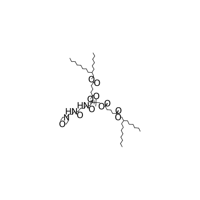 CCCCCCCCC(CCCCCC)COC(=O)CCCC(=O)OCC(C)(C)[C@@H](OC(=O)CCCC(=O)OCC(CCCCCC)CCCCCCCC)C(=O)NCCC(=O)NCCN1CCOCC1